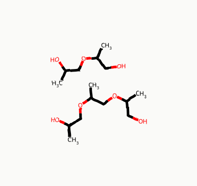 CC(O)COC(C)CO.CC(O)COC(C)COC(C)CO